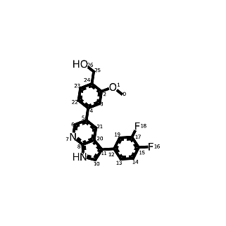 COc1cc(-c2cnc3[nH]cc(-c4ccc(F)c(F)c4)c3c2)ccc1CO